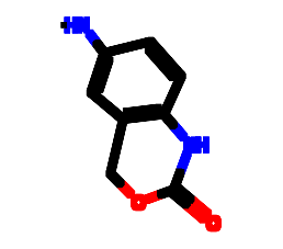 [NH]c1ccc2c(c1)COC(=O)N2